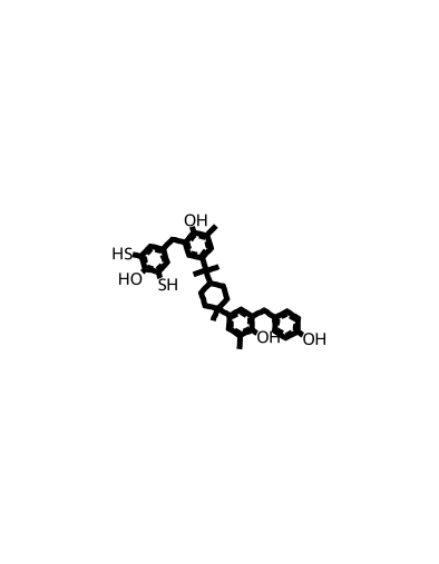 Cc1cc(C2(C)CCC(C(C)(C)c3cc(C)c(O)c(Cc4cc(S)c(O)c(S)c4)c3)CC2)cc(Cc2ccc(O)cc2)c1O